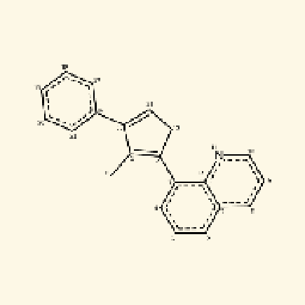 CC1=C(c2cccc3cccnc23)CC=C1c1ccccc1